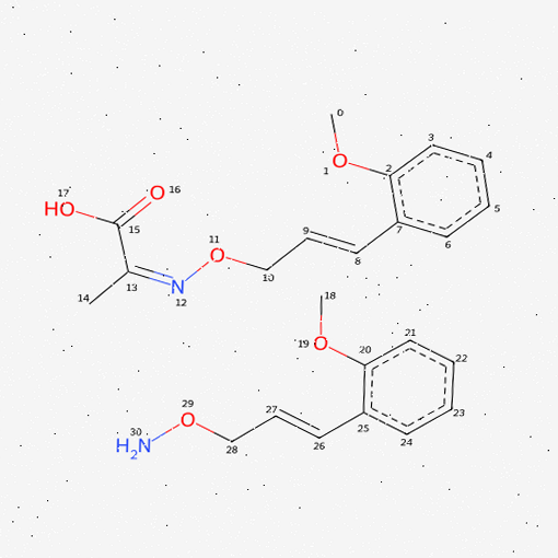 COc1ccccc1/C=C/CO/N=C(/C)C(=O)O.COc1ccccc1/C=C/CON